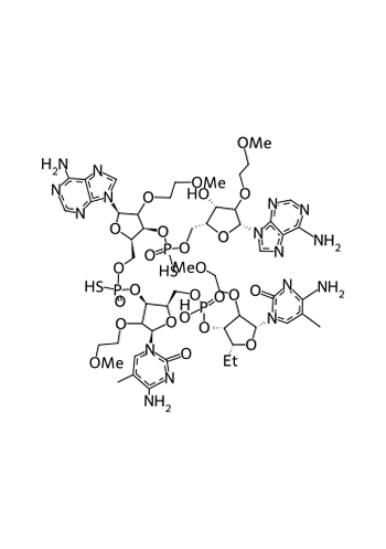 CC[C@H]1O[C@@H](n2cc(C)c(N)nc2=O)C(OCCOC)[C@H]1OP(=O)(O)OC[C@H]1O[C@@H](n2cc(C)c(N)nc2=O)C(OCCOC)[C@H]1OP(=O)(S)OC[C@H]1O[C@@H](n2cnc3c(N)ncnc32)C(OCCOC)[C@H]1OP(=O)(S)OC[C@H]1O[C@@H](n2cnc3c(N)ncnc32)C(OCCOC)[C@H]1O